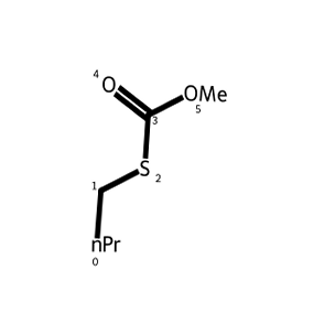 CCCCSC(=O)OC